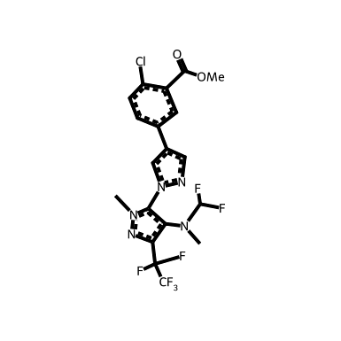 COC(=O)c1cc(-c2cnn(-c3c(N(C)C(F)F)c(C(F)(F)C(F)(F)F)nn3C)c2)ccc1Cl